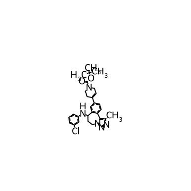 Cc1nnn2c1-c1ccc(C3=CCN(C(=O)OC(C)(C)C)CC3)cc1C(Nc1cccc(Cl)c1)CC2